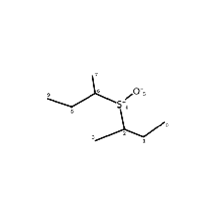 CCC(C)[S+]([O-])C(C)CC